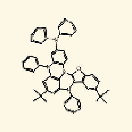 CC(C)(C)c1cc2c3c(c1)N(c1ccccc1)c1c(oc4ccc(C(C)(C)C)cc14)B3c1ccc(N(c3ccccc3)c3ccccc3)cc1N2c1ccccc1